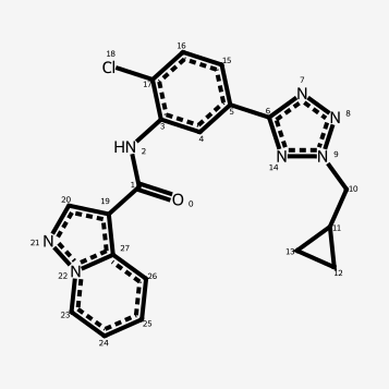 O=C(Nc1cc(-c2nnn(CC3CC3)n2)ccc1Cl)c1cnn2ccccc12